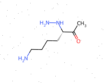 CC(=O)[C@H](CCCCN)NN